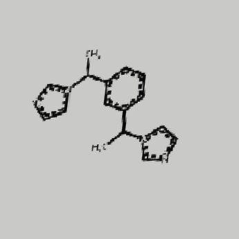 CC(c1cccc(C(C)n2ccnc2)c1)n1ccnc1